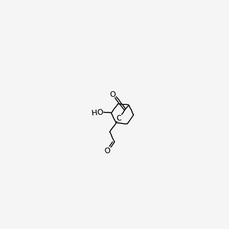 O=CCC12CCC(CC1O)C(=O)C2